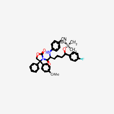 COc1ccc(C2(c3ccccc3)COC(=O)N2C(=O)C(CCCC(O[Si](C)(C)C(C)(C)C)c2ccc(F)cc2)Nc2ccc(C#N)cc2)cc1